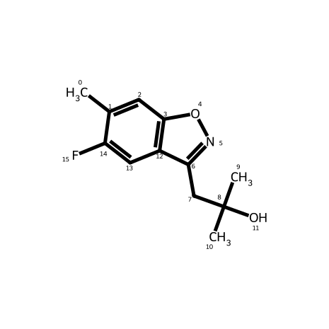 Cc1cc2onc(CC(C)(C)O)c2cc1F